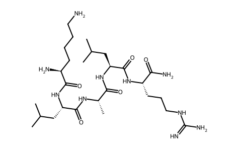 CC(C)C[C@H](NC(=O)[C@H](C)NC(=O)[C@H](CC(C)C)NC(=O)[C@@H](N)CCCCN)C(=O)N[C@@H](CCCNC(=N)N)C(N)=O